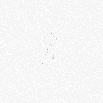 O=S1(=O)c2ccc(Br)cc2-c2ccc(I)cc21